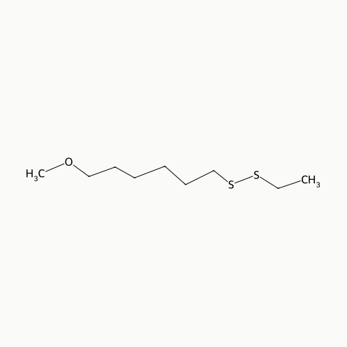 CCSSCCCCCCOC